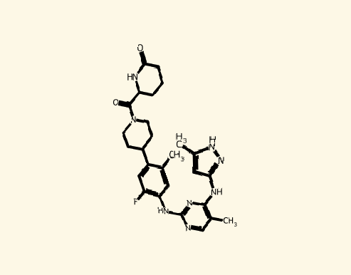 Cc1cc(Nc2nc(Nc3cc(C)c(C4CCN(C(=O)C5CCCC(=O)N5)CC4)cc3F)ncc2C)n[nH]1